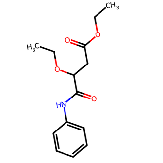 CCOC(=O)CC(OCC)C(=O)Nc1ccccc1